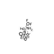 CCc1cccc(CN(C[C@@H](O)[C@@H](N)Cc2cc(F)cc(F)c2)C(=O)c2c(-n3cccc3)sc(C)c2C)c1